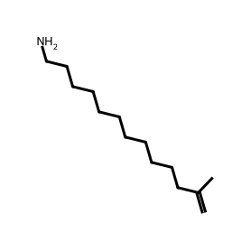 C=C(C)CCCCCCCCCCCN